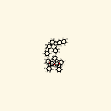 c1ccc(-n2c3ccccc3c3cccc(-c4nc(-c5ccc(-n6c7ccccc7c7cc8ccccc8cc76)c(-c6cccc7oc8ccccc8c67)c5)nc(-c5cccc6c7ccccc7n(-c7ccccc7)c56)n4)c32)cc1